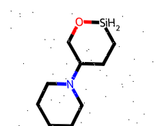 C1CCN(C2CC[SiH2]OC2)CC1